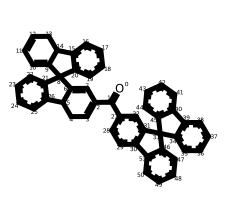 O=C(C1=CCC2C(=C1)C1(C3=CC=CCC3c3ccccc31)c1ccccc12)c1ccc2c(c1)C1(c3ccccc3-c3ccccc31)c1ccccc1-2